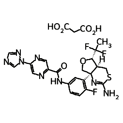 CC(F)(F)[C@H]1OC[C@]2(c3cc(NC(=O)c4cnc(-n5cncn5)cn4)ccc3F)N=C(N)SC[C@H]12.O=C(O)CC(=O)O